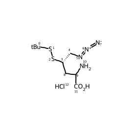 CC(C)(C)SS[C@H](CN=[N+]=[N-])CC(N)C(=O)O.Cl